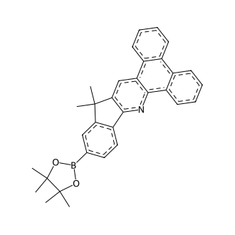 CC1(C)c2cc(B3OC(C)(C)C(C)(C)O3)ccc2-c2nc3c4ccccc4c4ccccc4c3cc21